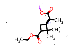 CCOC(=O)C1C/C(=C(/C)C(=O)OI)C1(C)C